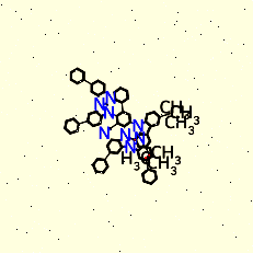 CC(C)(C)c1ccc2c(c1)c1cc(C(C)(C)C)ccc1n2-c1cc(-c2ccccc2)c(-n2c3ccc(-c4ccccc4)cc3n3c4cc(-c5ccccc5)ccc4nc23)c(C#N)c1-n1c2ccc(-c3ccccc3)cc2n2c3cc(-c4ccccc4)ccc3nc12